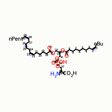 CCCC/C=C\CCCCCCCC(=O)O[C@H](COC(=O)CCCC/C=C\C/C=C\C/C=C\CCCCC)COP(=O)(O)OC[C@H](N)C(=O)O